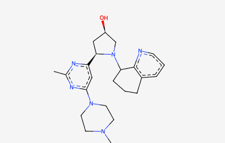 Cc1nc([C@H]2C[C@@H](O)CN2C2CCCc3cccnc32)cc(N2CCN(C)CC2)n1